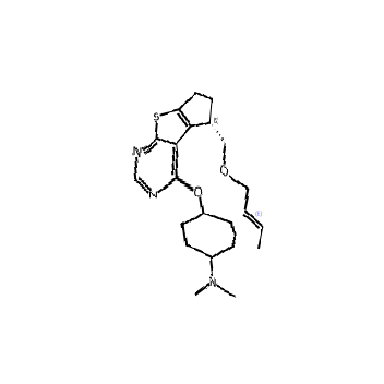 C/C=C/COC[C@H]1CCc2sc3ncnc(OC4CCC(N(C)C)CC4)c3c21